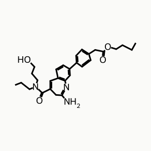 CCCCOC(=O)Cc1ccc(-c2ccc3c(c2)N=C(N)CC(C(=O)N(CCC)CCCO)=C3)cc1